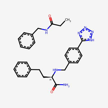 CCC(=O)NCc1cc[c]cc1.NC(=O)[C@@H](CCc1ccccc1)NCc1ccc(-c2nnn[nH]2)cc1